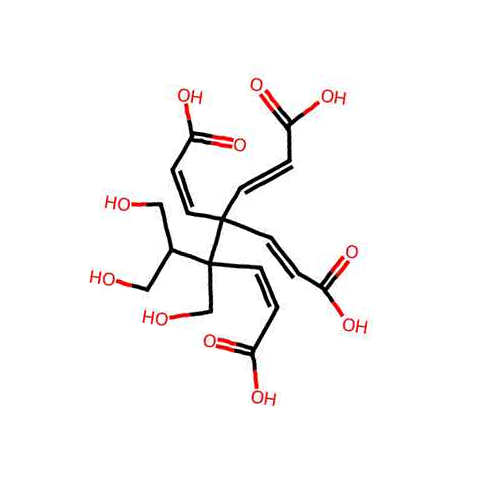 O=C(O)C=CC(C=CC(=O)O)(C=CC(=O)O)C(C=CC(=O)O)(CO)C(CO)CO